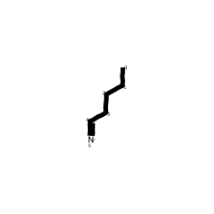 CCCCC=[N]